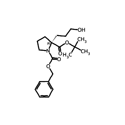 CC(C)(C)OC(=O)[C@]1(CCCO)CCCN1C(=O)OCc1ccccc1